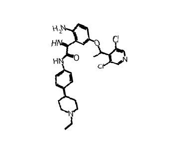 CCN1CCC(c2ccc(NC(=O)C(=N)c3cc(OC(C)c4c(Cl)cncc4Cl)ccc3N)cc2)CC1